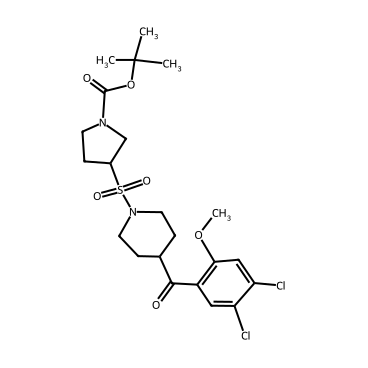 COc1cc(Cl)c(Cl)cc1C(=O)C1CCN(S(=O)(=O)C2CCN(C(=O)OC(C)(C)C)C2)CC1